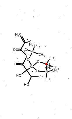 C=C(C)C(=O)OC(=O)C(O)(C(O)CCC)[Si](O[Si](C)(C)C)(O[Si](C)(C)C)O[Si](C)(C)C